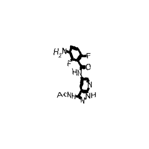 CC(=O)Nc1n[nH]c2ncc(NC(=O)c3c(F)ccc(N)c3F)cc12